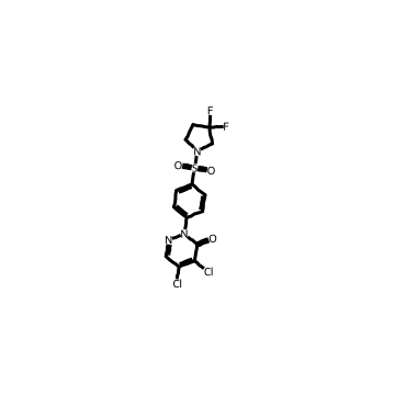 O=c1c(Cl)c(Cl)cnn1-c1ccc(S(=O)(=O)N2CCC(F)(F)C2)cc1